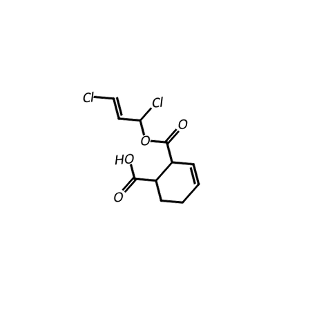 O=C(OC(Cl)C=CCl)C1C=CCCC1C(=O)O